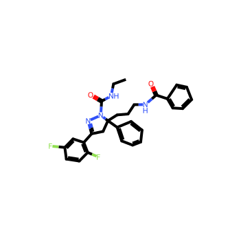 CCNC(=O)N1N=C(c2cc(F)ccc2F)CC1(CCCNC(=O)c1ccccc1)c1ccccc1